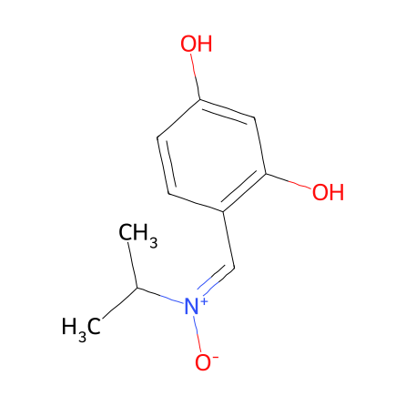 CC(C)/[N+]([O-])=C\c1ccc(O)cc1O